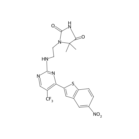 CC1(C)C(=O)NC(=O)N1CCNc1ncc(C(F)(F)F)c(-c2cc3cc([N+](=O)[O-])ccc3s2)n1